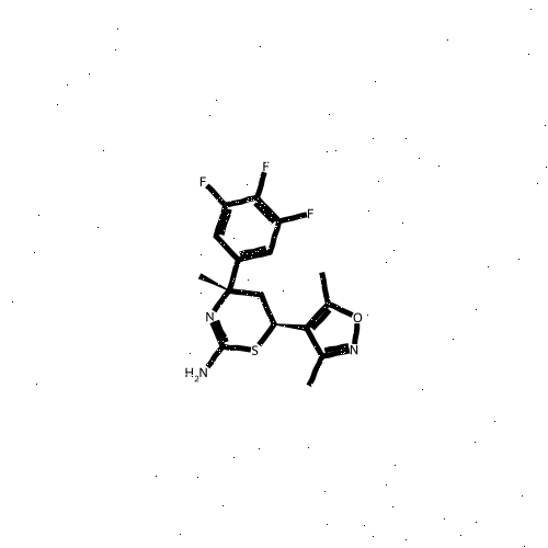 Cc1noc(C)c1[C@@H]1C[C@@](C)(c2cc(F)c(F)c(F)c2)N=C(N)S1